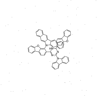 c1ccc2cc3c(cc2c1)c1cc2ccccc2cc1n3-c1c(C2=NC(n3c4ccccc4c4ccccc43)=NC(c3ccc4c(c3)oc3ccccc34)N2)ccc2c1oc1ccccc12